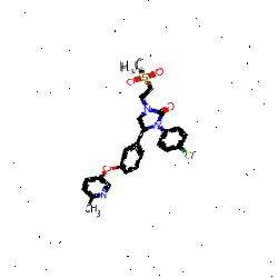 Cc1ccc(Oc2cccc(C3CN(CCS(C)(=O)=O)C(=O)N3c3ccc(Cl)cc3)c2)cn1